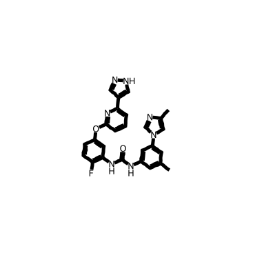 Cc1cc(NC(=O)Nc2cc(Oc3cccc(-c4cn[nH]c4)n3)ccc2F)cc(-n2cnc(C)c2)c1